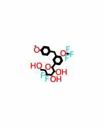 COc1ccc(Cc2cc(C3OC(CO)C(F)(F)C(O)C3O)ccc2OC(F)(F)F)cc1